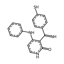 N=C(c1ccc(S)cc1)c1c(Nc2ccccc2)cc[nH]c1=O